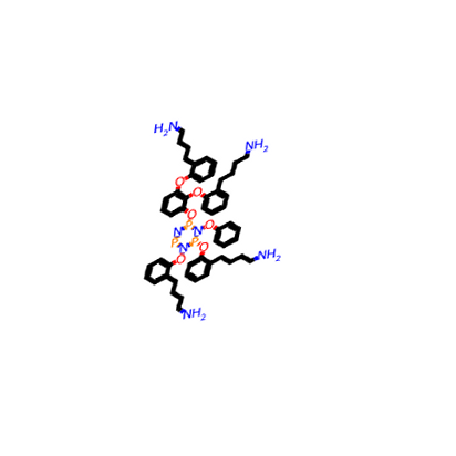 NCCCCc1ccccc1Oc1cccc(Op2npn(Oc3ccccc3CCCCN)p(Oc3ccccc3CCCCN)n2Oc2ccccc2)c1Oc1ccccc1CCCCN